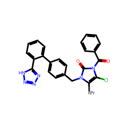 CCCc1c(Cl)n(C(=O)c2ccccc2)c(=O)n1Cc1ccc(-c2ccccc2-c2nnn[nH]2)cc1